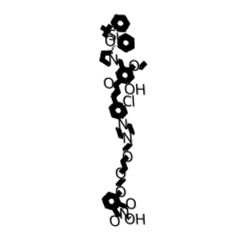 CCOc1cc(O)c(C(=O)/C=C/c2ccc(N3CCN(CCOCCOCCOc4cccc5c4C(=O)N(O)C5=O)CC3)cc2Cl)cc1CN1CCC[C@@H]1CO[Si](c1ccccc1)(c1ccccc1)C(C)(C)C